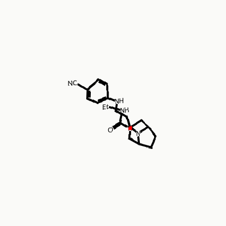 CCNC(=O)N1CC2CCC(C1)N2CCCNc1ccc(C#N)cc1